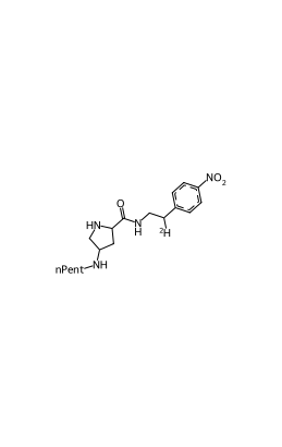 [2H]C(CNC(=O)C1CC(NCCCCC)CN1)c1ccc([N+](=O)[O-])cc1